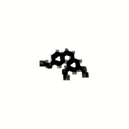 CCOc1ccc(/C=C\c2cc(OCC)cc(OCC)c2)cc1